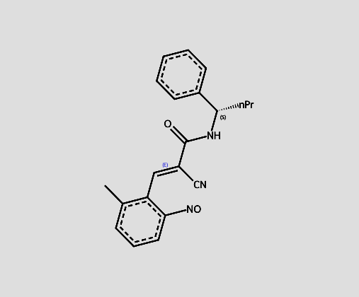 CCC[C@H](NC(=O)/C(C#N)=C/c1c(C)cccc1N=O)c1ccccc1